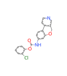 O=C(Nc1ccc2c(c1)OCc1cnccc1-2)Oc1ccccc1Cl